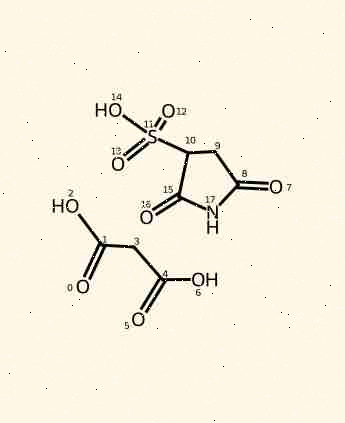 O=C(O)CC(=O)O.O=C1CC(S(=O)(=O)O)C(=O)N1